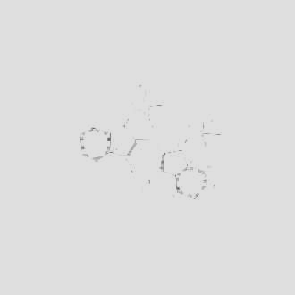 CC(C)(C)[Si](C)(C)O[C@@H]1[C]2=C(CCC3=[C]([Zr+2]2)[C@H](O[Si](C)(C)C(C)(C)C)c2ccccc23)c2ccccc21.[Cl-].[Cl-]